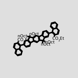 CCCCCCCCC1(CCCCCCCC)c2cc(-c3c(C(=O)OCC)ccc4ccccc34)ccc2-c2cc3c(cc21)-c1ccc(-c2c(C(=O)OCC)ccc4ccccc24)cc1C3(CCCCCCCC)CCCCCCCC